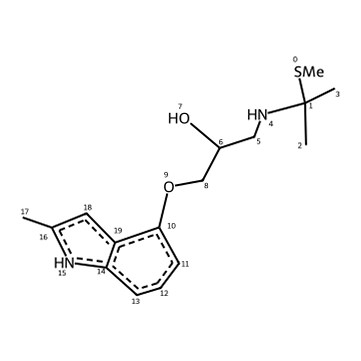 CSC(C)(C)NCC(O)COc1cccc2[nH]c(C)cc12